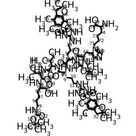 CC[C@@H](C)C(NC(=O)[C@@H](CCCNC(=N)NS(=O)(=O)c1c(C)c(C)c2c(c1C)OC(C)(C)C2)NC(=O)[C@@H](CCCNC(=N)NS(=O)(=O)c1c(C)c(C)c2c(c1C)OC(C)(C)C2)NC(=O)[C@@H](Cc1cnnn1CCCCC(N)C(=O)O)NC(=O)OC(C)(C)C)C(=O)N[C@@H](C(=O)NC(CCCCNC(=O)OC(C)(C)C)C(=O)O)C(C)C